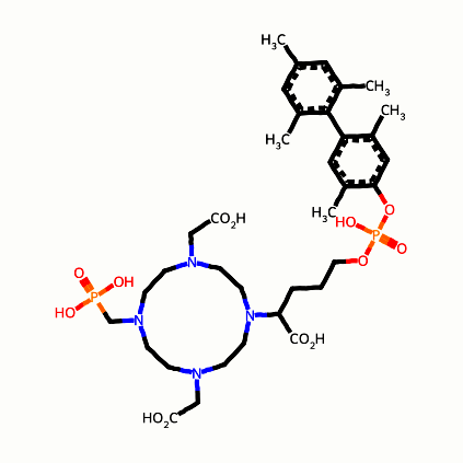 Cc1cc(C)c(-c2cc(C)c(OP(=O)(O)OCCCC(C(=O)O)N3CCN(CC(=O)O)CCN(CP(=O)(O)O)CCN(CC(=O)O)CC3)cc2C)c(C)c1